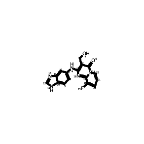 O=c1c(CO)c(Nc2ccc3[nH]cnc3c2)nc2c(F)cccn12